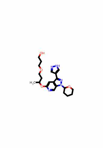 CC(CCOCCCO)Oc1cc2c(-c3cn[nH]c3)nn(C3CCCCO3)c2cn1